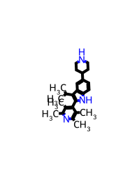 Cc1nc(C)c(C)c(-c2[nH]c3ccc(C4CCNCC4)cc3c2C(C)C)c1C